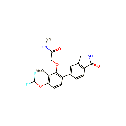 CCCNC(=O)COc1c(-c2ccc3c(c2)CNC3=O)ccc(OC(F)F)c1OC